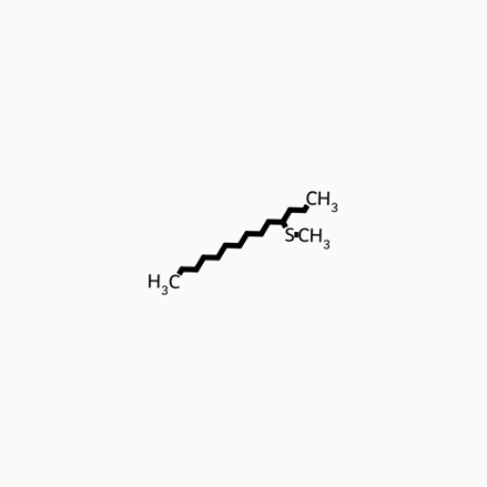 CCCCCCCCCCC(CCC)SC